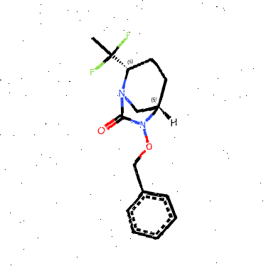 CC(F)(F)[C@@H]1CC[C@H]2CN1C(=O)N2OCc1ccccc1